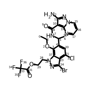 CCOc1c(C(C)NC(=O)c2c(N)nn3cccnc23)cc(Cl)c2c(Br)nn(CCOC(=O)C(F)(F)F)c12